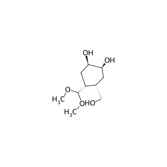 COC(OC)[C@@H]1C[C@@H](O)[C@@H](O)C[C@@H]1CO